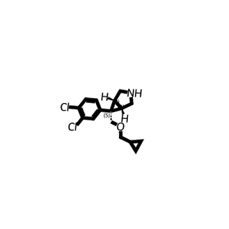 Clc1ccc([C@@]2(COCC3CC3)[C@@H]3CNC[C@@H]32)cc1Cl